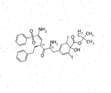 CC(C)(C)OC(=O)C1(O)C(I)=CC(C[C@H](N)C(=O)[C@H](C=C(N)S(=O)(=O)c2ccccc2)CCc2ccccc2)=CC1I